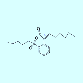 CCCCC/C=C(/C=O)c1ccccc1S(=O)(=O)CCCCC